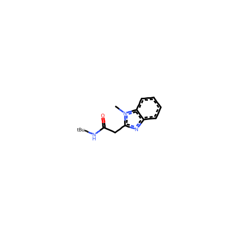 Cn1c(CC(=O)NC(C)(C)C)nc2ccccc21